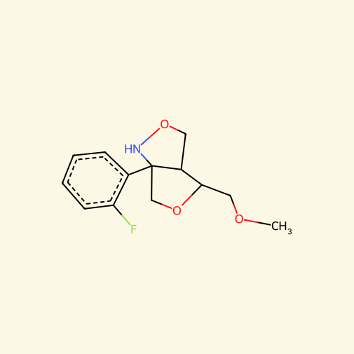 COCC1OCC2(c3ccccc3F)NOCC12